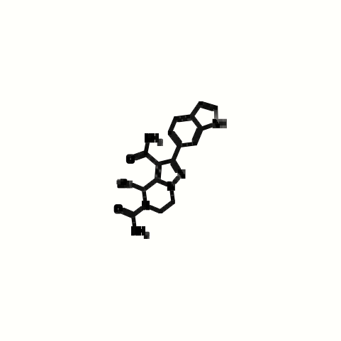 CC(C)(C)C1c2c(C(N)=O)c(-c3ccc4cc[nH]c4c3)nn2CCN1C(N)=O